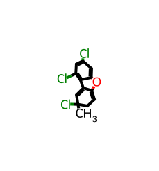 CC1(Cl)C=c2c(oc3cc(Cl)cc(Cl)c23)=CC1